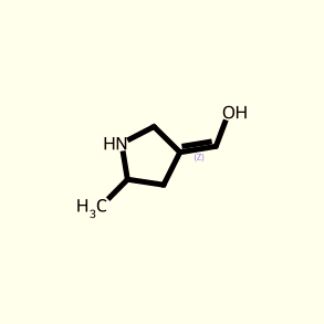 CC1C/C(=C/O)CN1